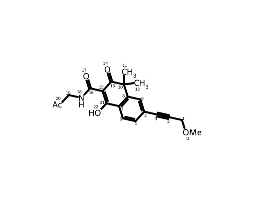 COCC#Cc1ccc2c(c1)C(C)(C)C(=O)C(C(=O)NCC(C)=O)=C2O